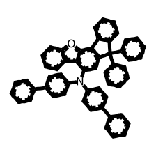 c1ccc(-c2ccc(N(c3ccc(-c4ccccc4)cc3)c3cc4c(c5oc6ccccc6c35)-c3ccccc3C4(c3ccccc3)c3ccccc3)cc2)cc1